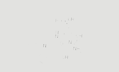 CCCCN(C(N)=O)c1c(C)cc(N(C)C)cc1C(=O)NC1CCN(C(c2ccccc2)c2ccccc2)CC1